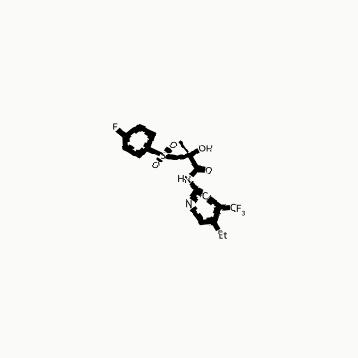 CCc1cnc(NC(=O)[C@@](C)(O)CS(=O)(=O)c2ccc(F)cc2)cc1C(F)(F)F